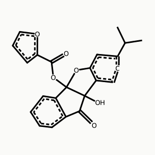 CC(C)c1ccc2c(c1)OC1(OC(=O)c3ccco3)c3ccccc3C(=O)C21O